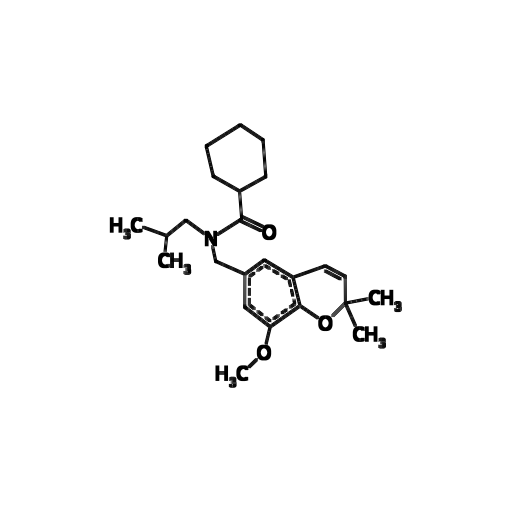 COc1cc(CN(CC(C)C)C(=O)C2CCCCC2)cc2c1OC(C)(C)C=C2